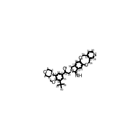 COc1c(N2CCOCC2)cc(C(=O)CN2Cc3cc4c(cc3C2=N)OCc2cnccc2CO4)cc1C(C)(C)C